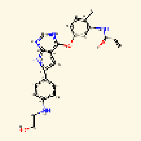 C=CC(=O)Nc1cc(Oc2ncnc3[nH]c(-c4ccc(NCCO)cc4)cc23)ccc1C